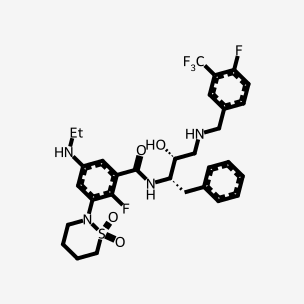 CCNc1cc(C(=O)N[C@@H](Cc2ccccc2)[C@H](O)CNCc2ccc(F)c(C(F)(F)F)c2)c(F)c(N2CCCCS2(=O)=O)c1